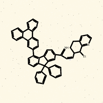 CCC1c2ncccc2CCC1/C=C\C(=N)c1ccc2c(c1)C(c1ccccc1)(c1ccccc1)c1cccc(-c3ccc4c5ccccc5c5ccccc5c4c3)c1-2